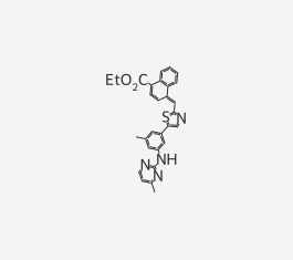 CCOC(=O)C1=C=CC(=Cc2ncc(-c3cc(C)cc(Nc4nccc(C)n4)c3)s2)c2ccccc21